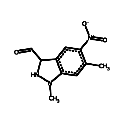 Cc1cc2c(cc1[N+](=O)[O-])C(C=O)NN2C